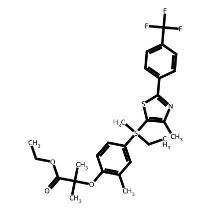 CCOC(=O)C(C)(C)Oc1ccc(S(C)(CC)c2sc(-c3ccc(C(F)(F)F)cc3)nc2C)cc1C